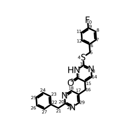 O=c1[nH]c(SCc2ccc(F)cc2)ncc1Cc1cnc(Cc2ccccc2)nc1